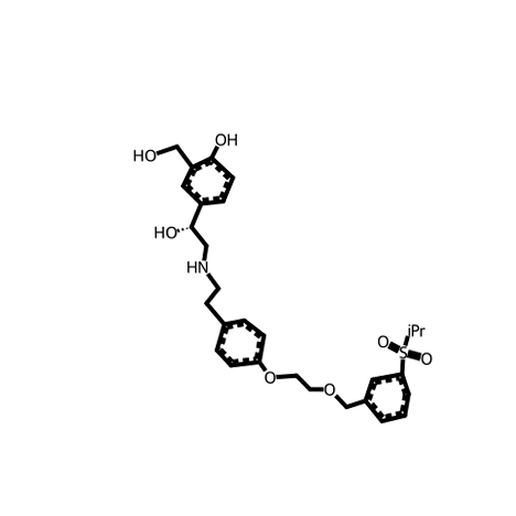 CC(C)S(=O)(=O)c1cccc(COCCOc2ccc(CCNC[C@H](O)c3ccc(O)c(CO)c3)cc2)c1